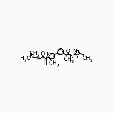 CCc1cnc(NC(=O)C(C)c2cccc(-c3cnc(NC(=O)/C=C/CN(C)C)c(C)c3)c2)s1